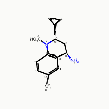 N[C@@H]1C[C@H](C2CC2)N(C(=O)O)c2ccc(C(F)(F)F)cc21